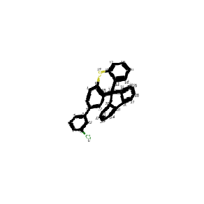 Clc1cccc(-c2ccc3c(c2)C2(c4ccccc4S3)c3ccccc3-c3ccccc32)c1